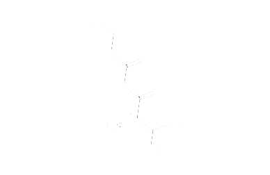 CCOC(=O)OC(=O)[C@@H](N)C(C)C